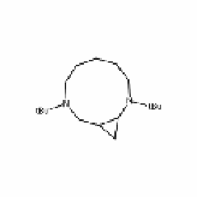 CC(C)(C)N1CCCCCN(C(C)(C)C)C2CC2C1